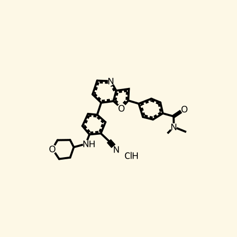 CN(C)C(=O)c1ccc(-c2cc3nccc(-c4ccc(NC5CCOCC5)c(C#N)c4)c3o2)cc1.Cl